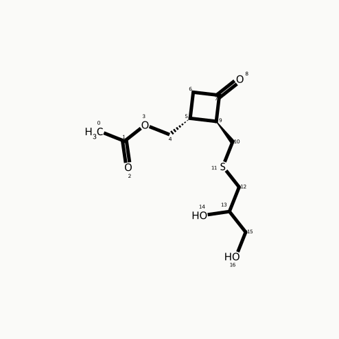 CC(=O)OC[C@@H]1CC(=O)[C@H]1CSCC(O)CO